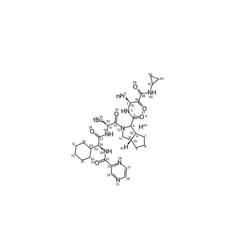 CCC[C@H](NC(=O)C1[C@H]2CCC[C@@H]2CN1C(=O)[C@@H](NC(=O)[C@@H](NC(=O)c1cnccn1)C1CCCCC1)C(C)(C)C)C(=O)C(=O)NC1CC1